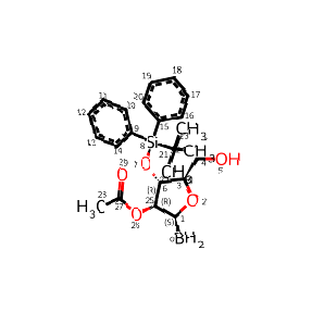 B[C@@H]1O[C@H](CO)[C@@H](O[Si](c2ccccc2)(c2ccccc2)C(C)(C)C)[C@@H]1OC(C)=O